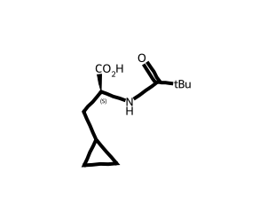 CC(C)(C)C(=O)N[C@@H](CC1CC1)C(=O)O